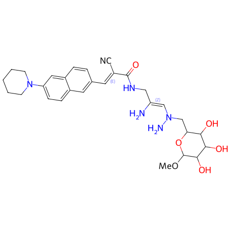 COC1OC(CN(N)/C=C(\N)CNC(=O)/C(C#N)=C/c2ccc3cc(N4CCCCC4)ccc3c2)C(O)C(O)C1O